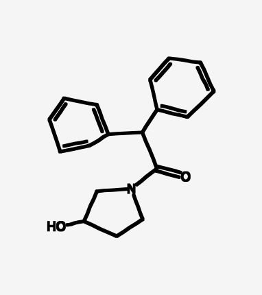 O=C(C(c1ccccc1)c1ccccc1)N1CCC(O)C1